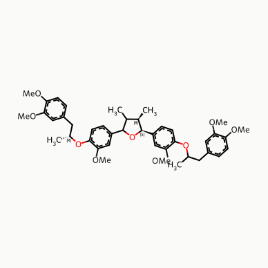 COc1ccc(CC(C)Oc2ccc([C@H]3OC(c4ccc(O[C@H](C)Cc5ccc(OC)c(OC)c5)c(OC)c4)C(C)[C@H]3C)cc2OC)cc1OC